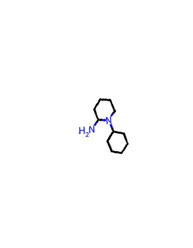 NC1CCCCN1C1CCCCC1